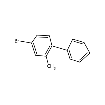 Cc1cc(Br)ccc1-c1ccccc1